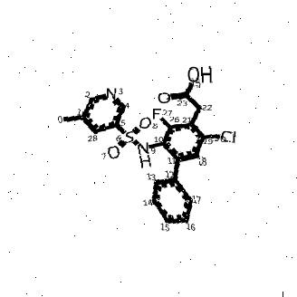 Cc1cncc(S(=O)(=O)Nc2c(-c3ccccc3)cc(Cl)c(CC(=O)O)c2F)c1